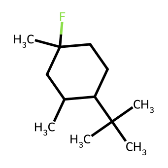 CC1CC(C)(F)CCC1C(C)(C)C